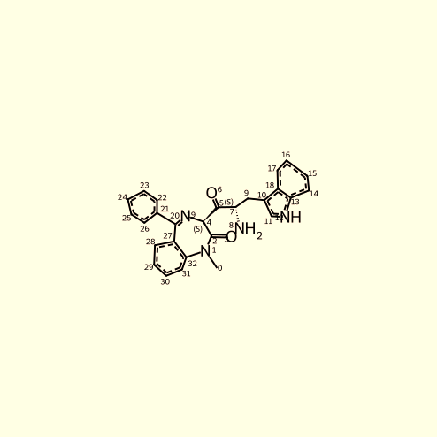 CN1C(=O)[C@H](C(=O)[C@@H](N)Cc2c[nH]c3ccccc23)N=C(c2ccccc2)c2ccccc21